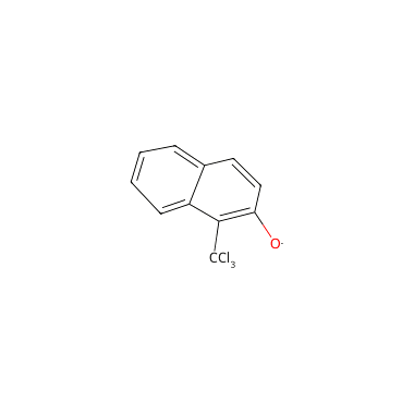 [O]c1ccc2ccccc2c1C(Cl)(Cl)Cl